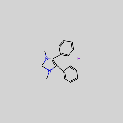 CN1CN(C)C(c2ccccc2)=C1c1ccccc1.I